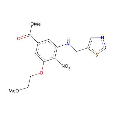 COCCOc1cc(C(=O)OC)cc(NCc2cncs2)c1[N+](=O)[O-]